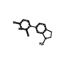 CN1CCc2ccc(-n3ccc(=O)[nH]c3=O)cc21